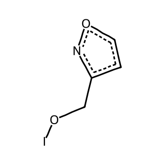 IOCc1ccon1